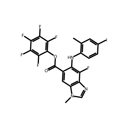 Cc1cc(I)ccc1Nc1c(C(=O)Oc2c(F)c(F)c(F)c(F)c2F)cc2c(ncn2C)c1F